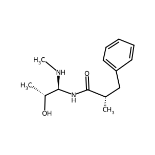 CN[C@@H](NC(=O)[C@@H](C)Cc1ccccc1)[C@@H](C)O